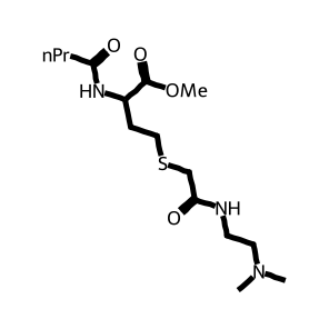 CCCC(=O)NC(CCSCC(=O)NCCN(C)C)C(=O)OC